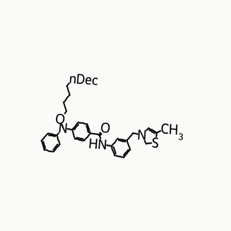 CCCCCCCCCCCCCCON(c1ccccc1)c1ccc(C(=O)Nc2cccc(CN3C=C(C)SC3)c2)cc1